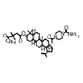 C=C(C)[C@@H]1CC[C@]2(CC(=O)N3CCN(C(N)=O)CC3)CC[C@]3(C)[C@H](CC[C@@H]4[C@@]5(C)CC[C@H](OC(=O)CC(C)(C)C(=O)O)C(C)(C)[C@@H]5CC[C@]43C)[C@@H]12